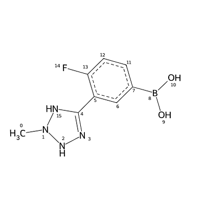 CN1NN=C(c2cc(B(O)O)ccc2F)N1